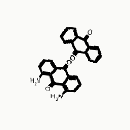 Nc1cccc2c1C(=O)c1c(N)cccc1C2=O.O=C1c2ccccc2C(=O)c2ccccc21